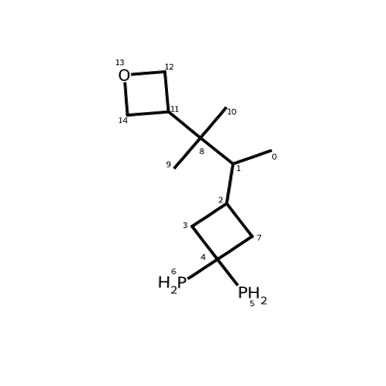 CC(C1CC(P)(P)C1)C(C)(C)C1COC1